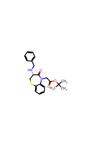 CC(C)(C)OC(=O)CN1C(=O)[C@@H](NCc2ccccc2)CSc2ccccc21